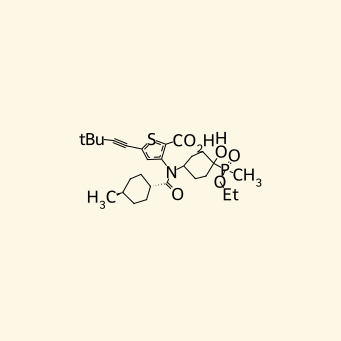 CCOP(C)(=O)C1(O)CCC(N(c2cc(C#CC(C)(C)C)sc2C(=O)O)C(=O)[C@H]2CC[C@H](C)CC2)CC1